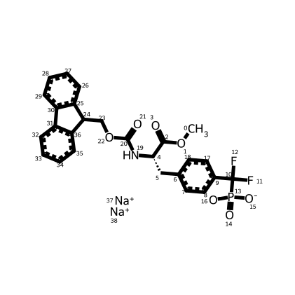 COC(=O)[C@H](Cc1ccc(C(F)(F)P(=O)([O-])[O-])cc1)NC(=O)OCC1c2ccccc2-c2ccccc21.[Na+].[Na+]